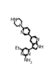 CCc1cc(-c2c[nH]c3ncc(-c4ccc(N5CCNCC5)nc4)cc23)nc(N)n1